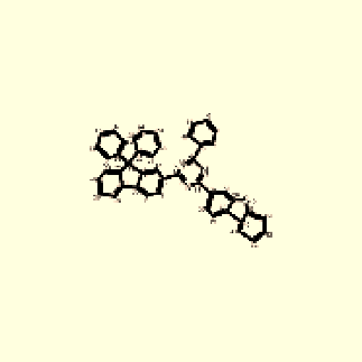 c1ccc(-c2nc(-c3ccc4c(c3)C(c3ccccc3)(c3ccccc3)c3ccccc3-4)nc(-c3ccc4c(c3)sc3ccccc34)n2)cc1